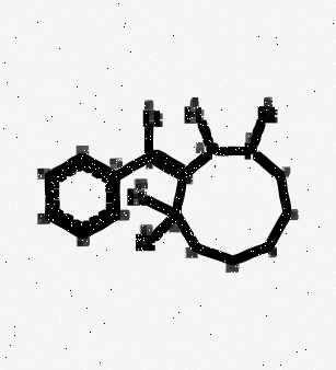 CCC(=C1P(CC)P(CC)CCCCCC1(CC)CC)c1ccccc1